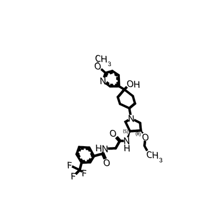 CCO[C@@H]1CN(C2CCC(O)(c3ccc(OC)nc3)CC2)C[C@@H]1NC(=O)CNC(=O)c1cccc(C(F)(F)F)c1